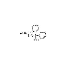 O=CC1NC(O)(c2ccccc2)c2ccccc21